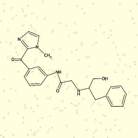 Cn1ccnc1C(=O)c1cccc(NC(=O)CNC(CO)Cc2ccccc2)c1